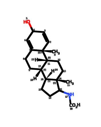 C[C@]12C=CC(O)C=C1CC[C@@H]1[C@H]2CC[C@]2(C)C(NC(=O)O)CC[C@@H]12